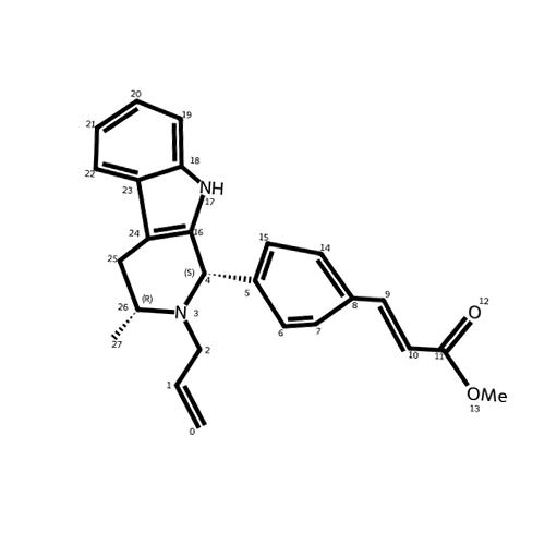 C=CCN1[C@@H](c2ccc(C=CC(=O)OC)cc2)c2[nH]c3ccccc3c2C[C@H]1C